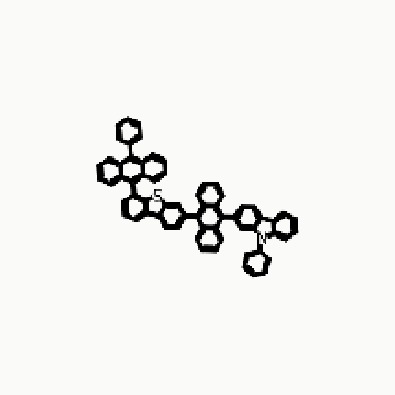 c1ccc(-c2c3ccccc3c(-c3cccc4c3sc3cc(-c5c6ccccc6c(-c6ccc7c8ccccc8n(-c8ccccc8)c7c6)c6ccccc56)ccc34)c3ccccc23)cc1